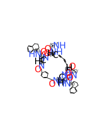 CN[C@@H](C)C(=O)N[C@H]1CC#CC#CC[C@H](NC(=O)[C@H](C)NC)C(=O)N2C[C@H](C[C@H]2C(=O)N[C@@H]2CCCc3ccccc32)NC(=O)c2ccc(cc2)C(=O)N[C@H]2C[C@@H](C(=O)N[C@@H]3CCCc4ccccc43)N(C2)C1=O